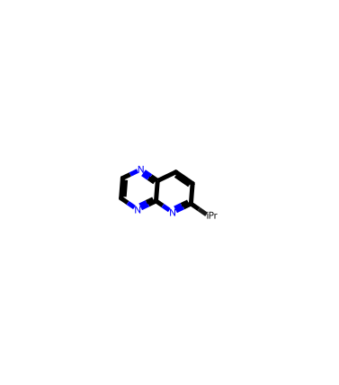 CC(C)c1ccc2nccnc2n1